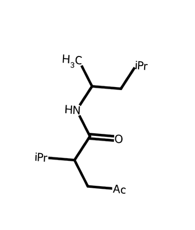 CC(=O)CC(C(=O)NC(C)CC(C)C)C(C)C